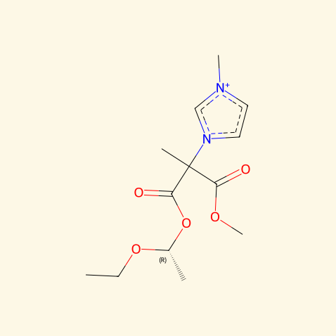 CCO[C@@H](C)OC(=O)C(C)(C(=O)OC)n1cc[n+](C)c1